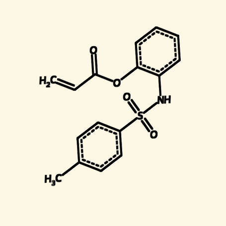 C=CC(=O)Oc1ccccc1NS(=O)(=O)c1ccc(C)cc1